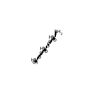 BC#CCNC(=O)CCOCSSCCNC(=O)CCOCCOCCNC(=O)I